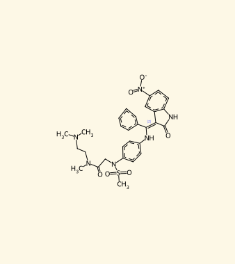 CN(C)CCN(C)C(=O)CN(c1ccc(N/C(=C2\C(=O)Nc3ccc([N+](=O)[O-])cc32)c2ccccc2)cc1)S(C)(=O)=O